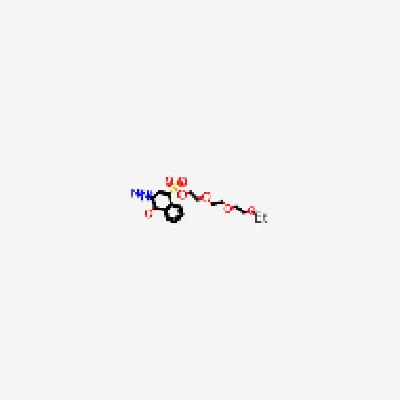 CCOCCOCCOCCOS(=O)(=O)C1=CC(=[N+]=[N-])C(=O)c2ccccc21